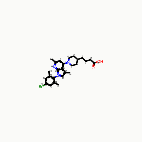 Cc1cc(N2CCC(CCCC(=O)O)CC2)c2c(C)cn(-c3c(C)cc(Br)cc3C)c2n1